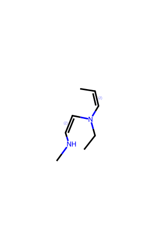 C/C=C\N(/C=C\NC)CC